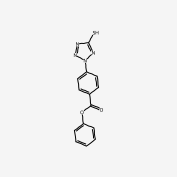 O=C(Oc1ccccc1)c1ccc(-n2nnc(S)n2)cc1